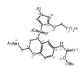 CCn1cc(S(=O)(=O)N2CC(CNC(C)=O)Oc3ccc(NC(=O)OC(C)(C)C)cc32)c(OCC(=O)O)n1